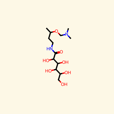 CC(CCNC(=O)C(O)C(O)C(O)C(O)CO)OCN(C)C